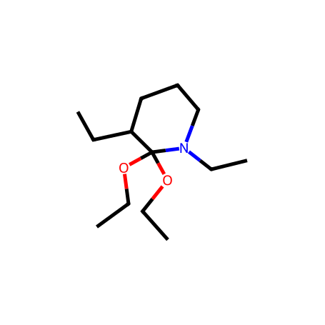 CCOC1(OCC)C(CC)CCCN1CC